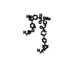 CSC1(C(=O)Nc2ccc3[nH]nc(-c4ccc(OC(C)C)nc4)c3c2)CCN(CC(=O)N2CC=C(c3ccc(-c4ncn(C)n4)cc3)CC2)C1.O